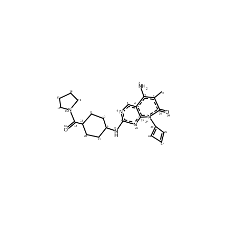 Cc1c(N)c2cnc(NC3CCC(C(=O)N4CCCC4)CC3)nc2n(C2=CC=C2)c1=O